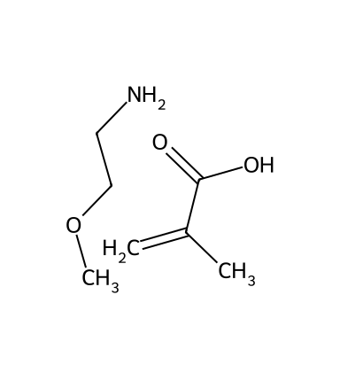 C=C(C)C(=O)O.COCCN